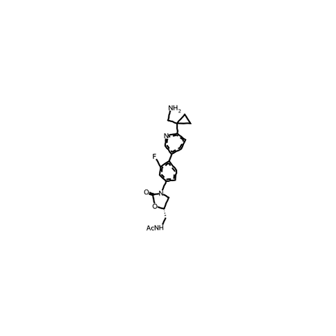 CC(=O)NC[C@H]1CN(c2ccc(-c3ccc(C4(CN)CC4)nc3)c(F)c2)C(=O)O1